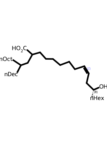 CCCCCCCCCCC(CCCCCCCC)CC(CCCCCC/C=C\C[C@H](O)CCCCCC)C(=O)O